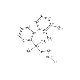 CC(C)(OO)c1ccccc1.CCO.Cc1ccccc1C